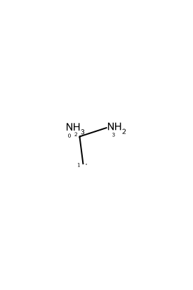 N.[CH2]CN